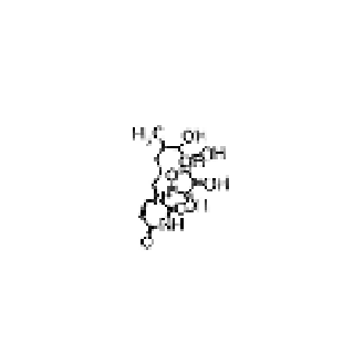 CC(CCC[N+]1([C@@H]2O[C@H](CO)[C@@H](O)[C@H]2O)C=CC(=O)NC1=O)C(O)O